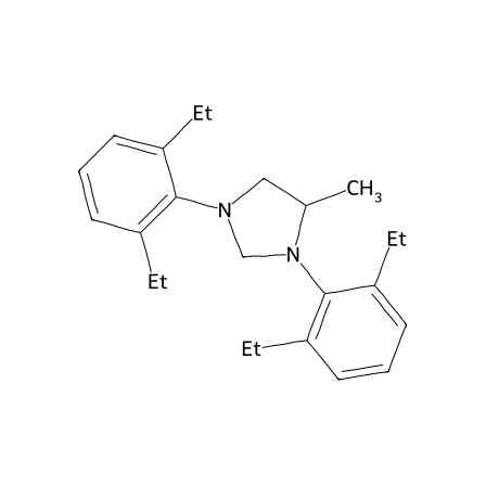 CCc1cccc(CC)c1N1CC(C)N(c2c(CC)cccc2CC)C1